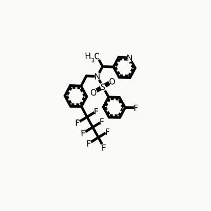 CC(c1cccnc1)N(Cc1cccc(C(F)(F)C(F)(F)C(F)(F)F)c1)S(=O)(=O)c1cccc(F)c1